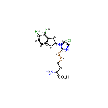 Cl.N[C@@H](CCSSc1nccn1C1Cc2ccc(F)c(F)c2C1)C(=O)O